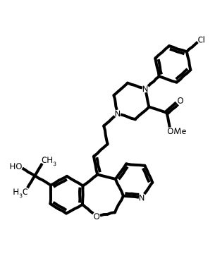 COC(=O)C1CN(CCC=C2c3cc(C(C)(C)O)ccc3OCc3ncccc32)CCN1c1ccc(Cl)cc1